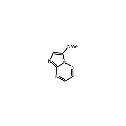 CNc1cnc2nccnn12